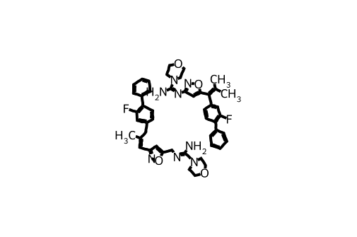 CC(=Cc1cc(CN=C(N)N2CCOCC2)on1)Cc1ccc(-c2ccccc2)c(F)c1.CC(C)=C(c1ccc(-c2ccccc2)c(F)c1)c1cc(N=C(N)N2CCOCC2)no1